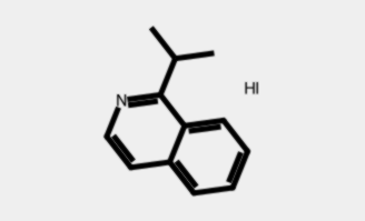 CC(C)c1nccc2ccccc12.I